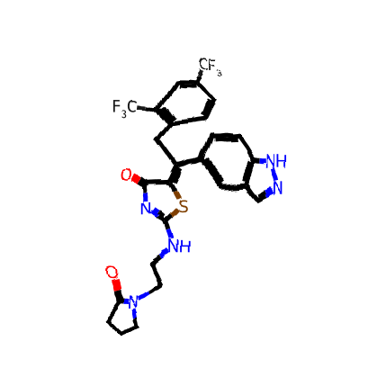 O=C1N=C(NCCN2CCCC2=O)SC1=C(Cc1ccc(C(F)(F)F)cc1C(F)(F)F)c1ccc2[nH]ncc2c1